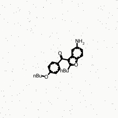 CCCCOc1ccc(C(=O)c2c(CCCC)oc3ccc(N)cc23)cc1